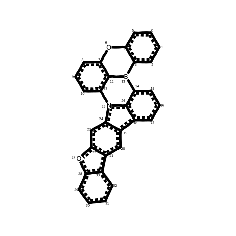 c1ccc2c(c1)Oc1cccc3c1B2c1cccc2c4cc5c(cc4n-3c12)oc1ccccc15